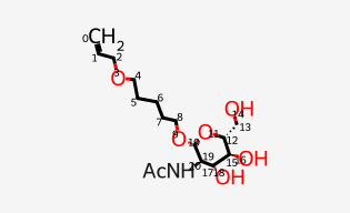 C=CCOCCCCCO[C@@H]1O[C@H](CO)[C@@H](O)[C@H](O)[C@H]1NC(C)=O